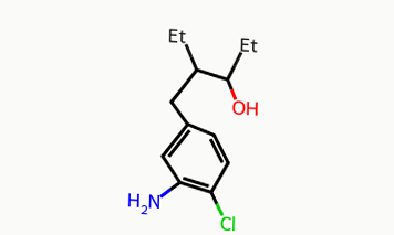 CCC(O)C(CC)Cc1ccc(Cl)c(N)c1